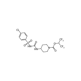 O=C(NC1CCN(C(=O)OC(C(F)(F)F)C(F)(F)F)CC1)NS(=O)(=O)c1ccc(Cl)cc1